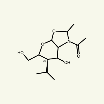 CC(=O)N1C(C)OC2OC(CO)[C@H](C(C)C)C(O)C21